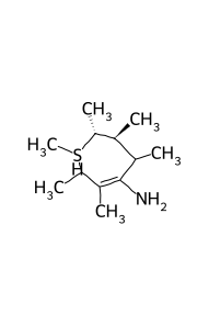 CC1=C(N)C(C)[C@H](C)[C@@H](C)[SH](C)C1C